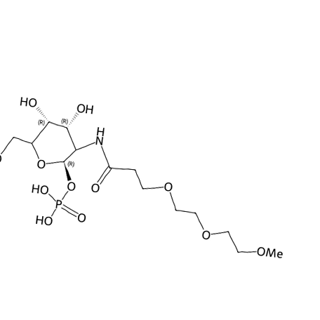 COCCOCCOCCC(=O)NC1[C@@H](OP(=O)(O)O)OC(CO)[C@H](O)[C@@H]1O